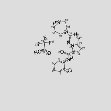 O=C(Nc1ccccc1Cl)c1ccc2cnc(N3CCCNCC3)nn12.O=C(O)C(F)(F)F